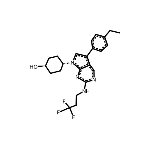 CCc1ccc(-c2cn([C@H]3CC[C@H](O)CC3)c3nc(NCCC(F)(F)F)ncc23)cc1